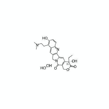 CC[C@@]1(O)C(=O)OCc2c1cc1n(c2=O)Cc2cc3c(CCN(C)C)c(O)ccc3nc2-1.Cl.Cl